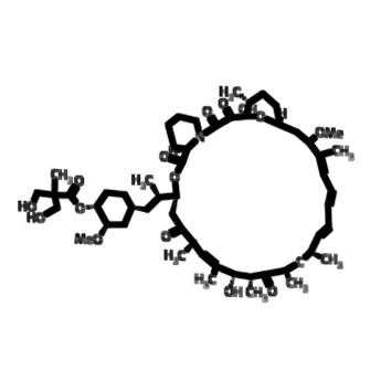 COC1C[C@@H]2CC[C@@H](C)[C@@](O)(O2)C(=O)C(=O)N2CCCC[C@H]2C(=O)O[C@H]([C@H](C)C[C@@H]2CC[C@@H](OC(=O)C(C)(CO)CO)[C@H](OC)C2)CC(=O)[C@H](C)/C=C(\C)[C@@H](O)[C@@H](C)C(=O)[C@H](C)C[C@H](C)/C=C/C=C/C=C/1C